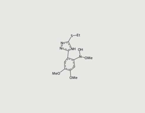 CCSc1nnc(-c2cc(OC)c(OC)cc2N(O)OC)[nH]1